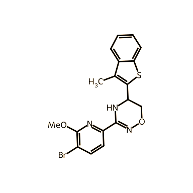 COc1nc(C2=NOCC(c3sc4ccccc4c3C)N2)ccc1Br